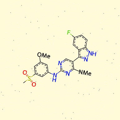 CNc1nc(Nc2cc(OC)cc(S(C)(=O)=O)c2)ncc1-c1n[nH]c2ccc(F)cc12